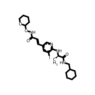 C[C@@H](Nc1ncc(/C=C/C(=O)NOC2CCCCO2)cc1I)C(=O)NCC1CCCCC1